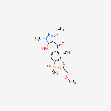 CCc1nn(C)c(O)c1C(=O)c1ccc(S(C)(=O)=O)c(OCCOC)c1C